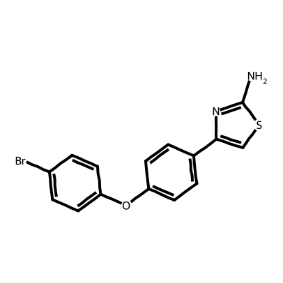 Nc1nc(-c2ccc(Oc3ccc(Br)cc3)cc2)cs1